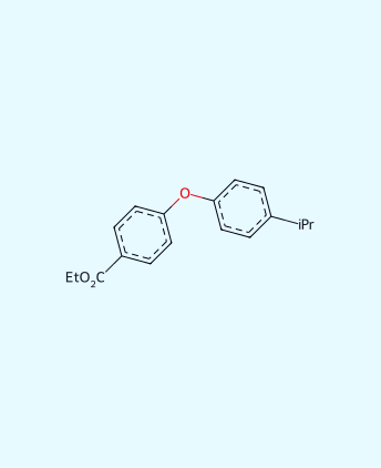 CCOC(=O)c1ccc(Oc2ccc(C(C)C)cc2)cc1